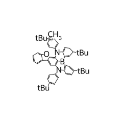 CC(C)(C)c1ccc(N2c3ccc(C(C)(C)C)cc3B3C4=CC(C(C)(C)C)CC=C4N(C4=CC[C@](C)(C(C)(C)C)C=C4)c4c3c2cc2c4oc3ccccc32)cc1